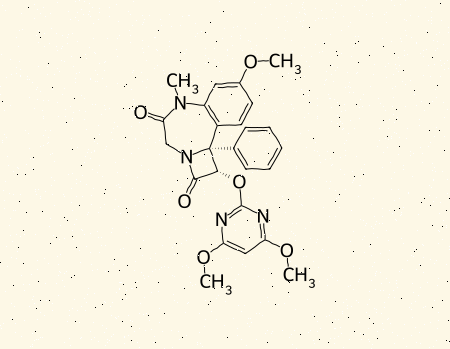 COc1ccc2c(c1)N(C)C(=O)CN1C(=O)[C@@H](Oc3nc(OC)cc(OC)n3)[C@]21c1ccccc1